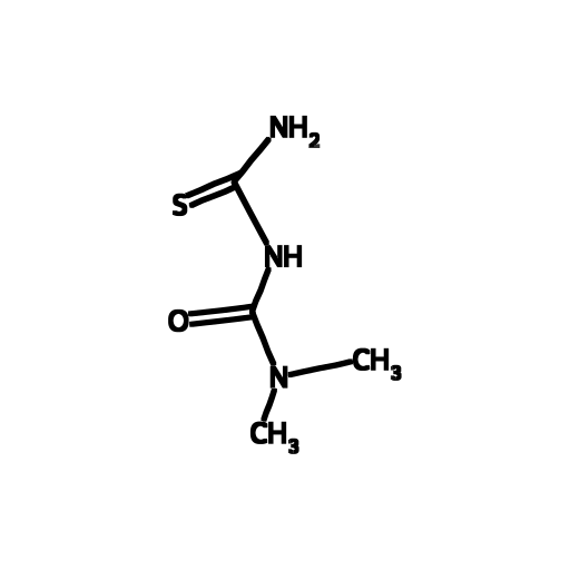 CN(C)C(=O)NC(N)=S